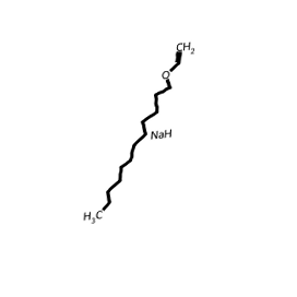 C=COCCCCCCCCCCCC.[NaH]